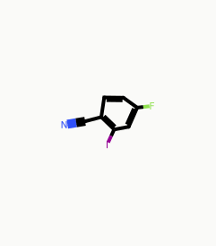 N#Cc1ccc(F)cc1I